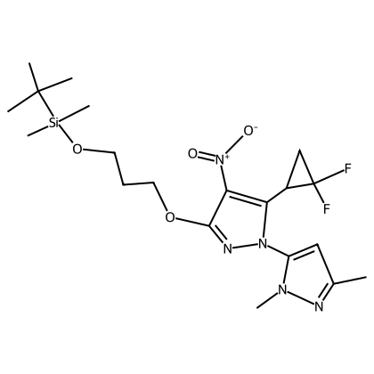 Cc1cc(-n2nc(OCCCO[Si](C)(C)C(C)(C)C)c([N+](=O)[O-])c2C2CC2(F)F)n(C)n1